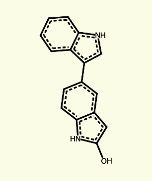 Oc1cc2cc(-c3c[nH]c4ccccc34)ccc2[nH]1